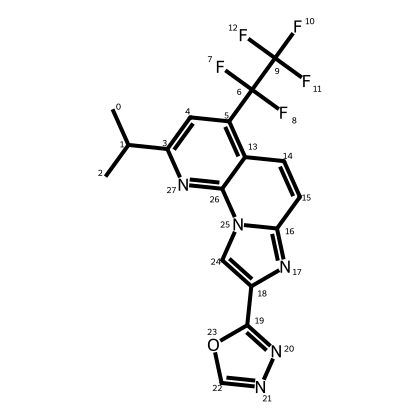 CC(C)c1cc(C(F)(F)C(F)(F)F)c2ccc3nc(-c4nnco4)cn3c2n1